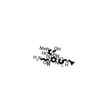 CN[C@@H](C)[C@@H](O)[C@H](OCCO)O[C@@H]1[C@@H](O)[C@H](O[C@@H]2CCC=C(CNCC3CC3)O2)[C@@H](N)C[C@H]1NC(=O)[C@H](O)CCN